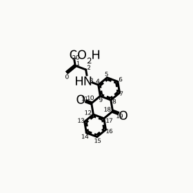 C=C(CNc1cccc2c1C(=O)c1ccccc1C2=O)C(=O)O